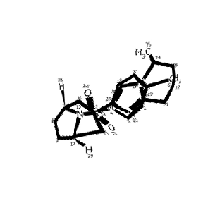 CC1CCN([C@@H]2C[C@H]3CC[C@@H](C2)N3S(=O)(=O)c2cn3c(n2)CCCC3C)CC1